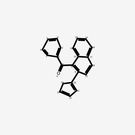 O=C(c1ccccc1)c1c(C2=CC=CC2)ccc2ccccc12